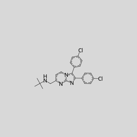 CC(C)(C)NCc1ccn2c(-c3ccc(Cl)cc3)c(-c3ccc(Cl)cc3)nc2n1